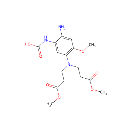 COC(=O)CCN(CCC(=O)OC)c1cc(NC(=O)O)c(N)cc1OC